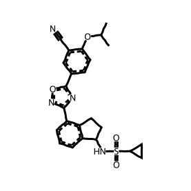 CC(C)Oc1ccc(-c2nc(-c3cccc4c3CCC4NS(=O)(=O)C3CC3)no2)cc1C#N